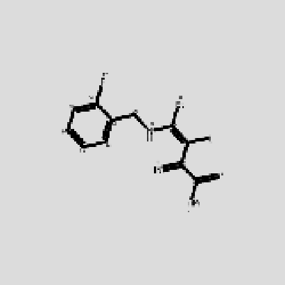 C=C(CCC)C(=N)/C(C)=C(/CC)NCc1ccccc1F